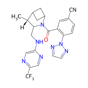 C[C@@H]1C2CC(C2)N(C(=O)c2cc(C#N)ccc2-n2nccn2)C1CNc1cnc(C(F)(F)F)cn1